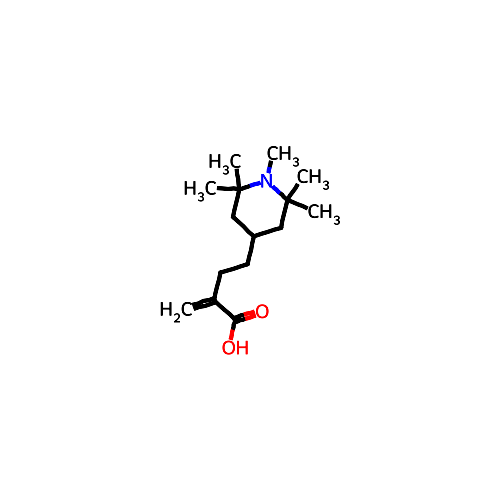 C=C(CCC1CC(C)(C)N(C)C(C)(C)C1)C(=O)O